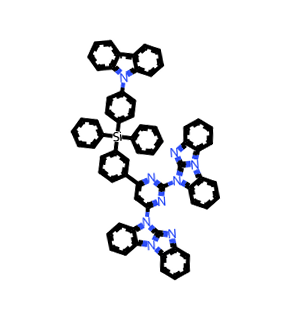 c1ccc([Si](c2ccccc2)(c2ccc(-n3c4ccccc4c4ccccc43)cc2)c2cccc(-c3cc(-n4c5ccccc5n5c6ccccc6nc45)nc(-n4c5ccccc5n5c6ccccc6nc45)n3)c2)cc1